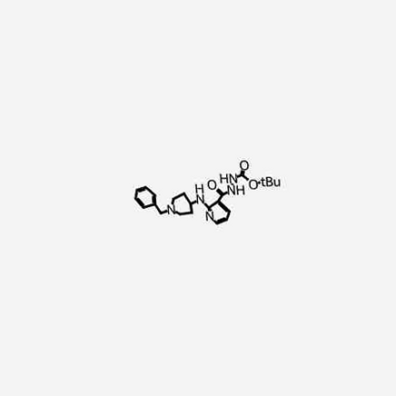 CC(C)(C)OC(=O)NNC(=O)c1cccnc1NC1CCN(Cc2ccccc2)CC1